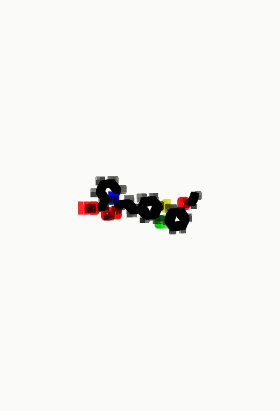 CCOc1ccccc1Sc1ccc(C=CC(=O)N2CCCCC2C(=O)O)cc1Cl